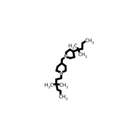 CCCC(C)(C)CCN1CCC(CN2CCC(C(C)(C)CCC)CC2)CC1